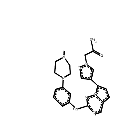 CN1CCN(c2cccc(Nc3ncc4ccc(-c5cnn(CC(N)=O)c5)n4n3)c2)CC1